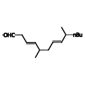 CCCCC(C)C=CCC(C)C=CC[C]=O